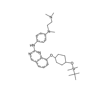 CN(C)CCN(C)c1ccc(Nc2ncc3cccc(OC4CCC(O[Si](C)(C)C(C)(C)C)CC4)c3n2)cc1